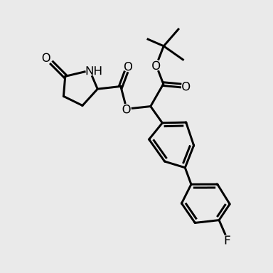 CC(C)(C)OC(=O)C(OC(=O)C1CCC(=O)N1)c1ccc(-c2ccc(F)cc2)cc1